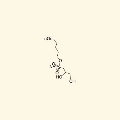 CCCCCCCCCCCCOS(=O)(=O)CC(O)CO.N